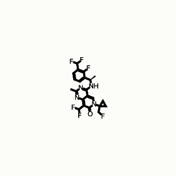 Cc1nc(N[C@H](C)c2cccc(C(F)F)c2F)c2cn(C3(CF)CC3)c(=O)c(C(F)F)c2n1